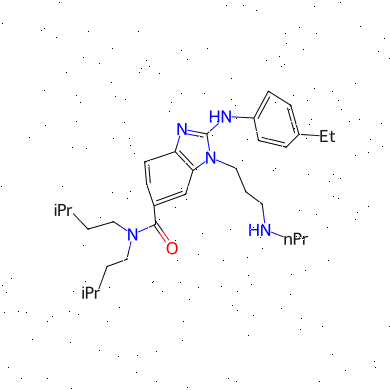 CCCNCCCn1c(Nc2ccc(CC)cc2)nc2ccc(C(=O)N(CCC(C)C)CCC(C)C)cc21